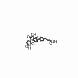 Cn1c(=O)n(C2CCC(=O)NC2=O)c2ccc(C3CCC(CCCC(=O)O)CC3)cc21